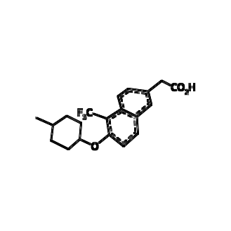 CC1CCC(Oc2ccc3cc(CC(=O)O)ccc3c2C(F)(F)F)CC1